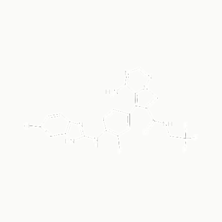 Nc1ncnn2cc(C(=O)NCC(F)(F)F)c(-c3ccc(Nc4nc5ccc(Cl)cc5[nH]4)c(F)c3)c12